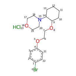 Brc1ccc(OCCOC2CCCCC2N2CCOCC2)cc1.Cl